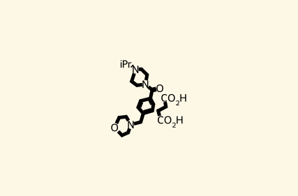 CC(C)N1CCN(C(=O)c2ccc(CN3CCOCC3)cc2)CC1.O=C(O)CCC(=O)O